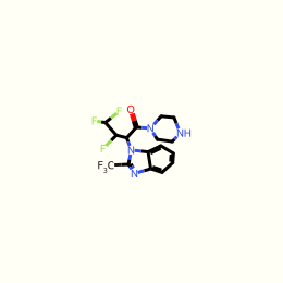 O=C(C(C(F)C(F)F)n1c(C(F)(F)F)nc2ccccc21)N1CCNCC1